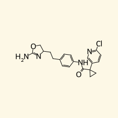 NC1=NC(CCc2ccc(NC(=O)C3(c4ccc(Cl)nc4)CC3)cc2)CO1